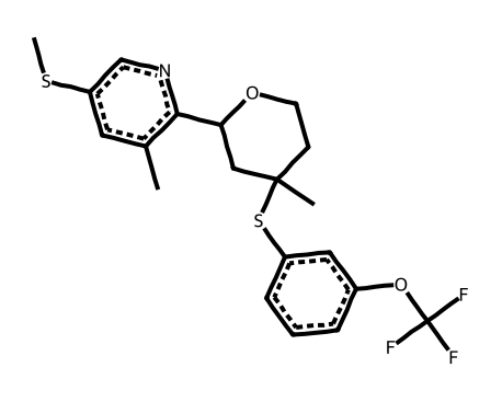 CSc1cnc(C2CC(C)(Sc3cccc(OC(F)(F)F)c3)CCO2)c(C)c1